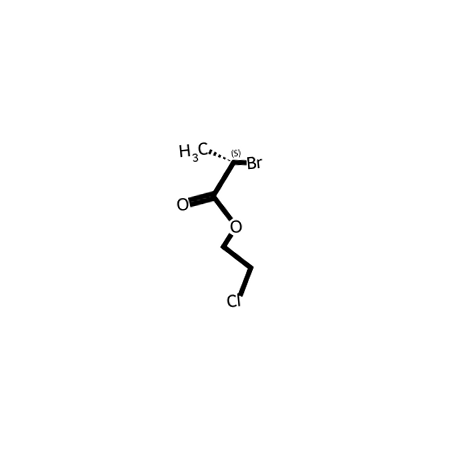 C[C@H](Br)C(=O)OCCCl